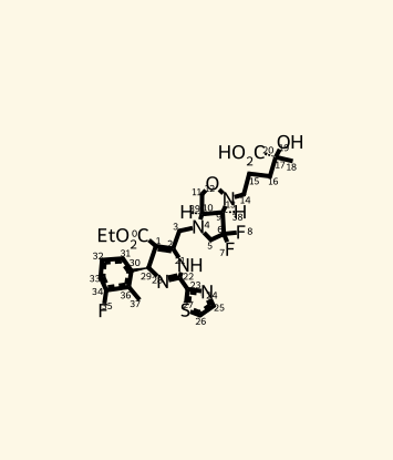 CCOC(=O)C1=C(CN2CC(F)(F)[C@H]3[C@@H]2CON3CCC[C@](C)(O)C(=O)O)NC(c2nccs2)=N[C@H]1c1cccc(F)c1C